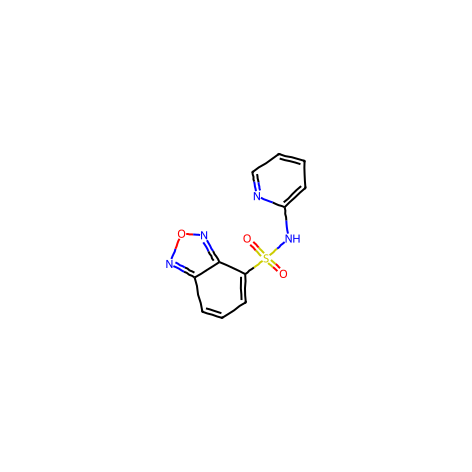 O=S(=O)(Nc1ccccn1)c1cccc2nonc12